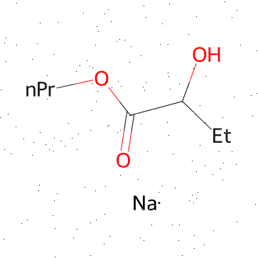 CCCOC(=O)C(O)CC.[Na]